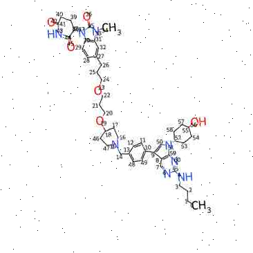 CCCCNc1ncc2c(-c3ccc(CN4CCC(OCCCOCCCc5ccc6c(c5)n(C)c(=O)n6[C@H]5CCC(=O)NC5=O)CC4)cc3)cn([C@H]3CC[C@H](O)CC3)c2n1